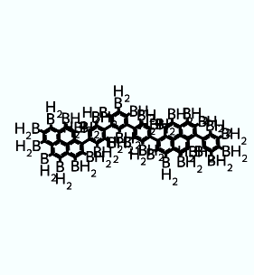 Bc1c(B)c(B)c(-c2c(B)c(B)c3c(B)c(B)c4c(-c5c(B)c(B)c(-c6c(B)c(B)c(B)c(-c7c(B)c(B)c(-c8c(B)c(B)c9c(B)c(B)c%10c(B)c(B)c(B)c%11c(B)c(B)c8c9c%10%11)c(B)c7B)c6B)c(B)c5B)c(B)c(B)c5c(B)c(B)c2c3c54)c(B)c1B